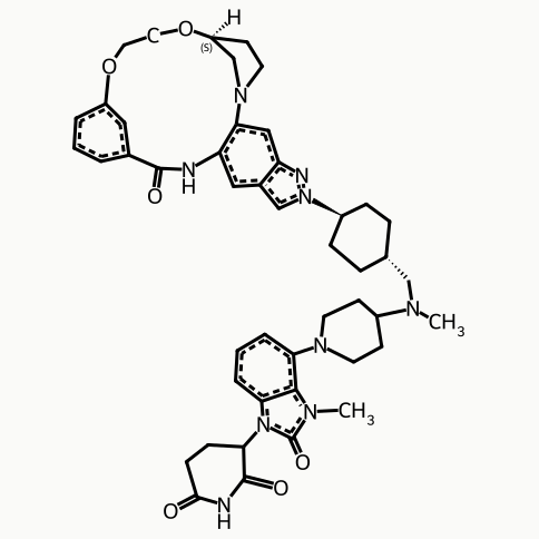 CN(C[C@H]1CC[C@H](n2cc3cc4c(cc3n2)N2CC[C@@H](C2)OCCOc2cccc(c2)C(=O)N4)CC1)C1CCN(c2cccc3c2n(C)c(=O)n3C2CCC(=O)NC2=O)CC1